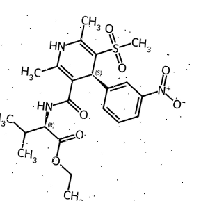 CCOC(=O)[C@H](NC(=O)C1=C(C)NC(C)=C(S(C)(=O)=O)[C@H]1c1cccc([N+](=O)[O-])c1)C(C)C